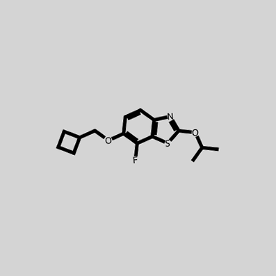 CC(C)Oc1nc2ccc(OCC3CCC3)c(F)c2s1